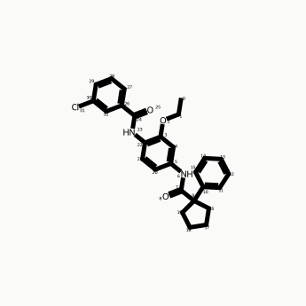 CCOc1cc(NC(=O)C2(c3ccccc3)CCCC2)ccc1NC(=O)c1cccc(Cl)c1